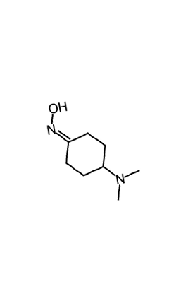 CN(C)C1CCC(=NO)CC1